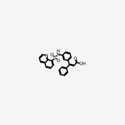 O=C(O)/C=C(/c1ccccc1)c1cccc(NS(=O)(=O)c2cccc3cccnc23)c1